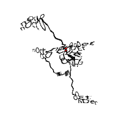 CCCCCCCCCCC(CC)OC(=O)CCCCCN(CCCCCCCC(=O)OC(CCCCCCCC)CCCCCCCC)CCNC(=O)CC(C)C(=O)NCCN(CCCCCCCC(=O)OC(CCCCCCCC)CCCCCCCC)CCCCCC(=O)OC(CC)CCCCCCCCCC